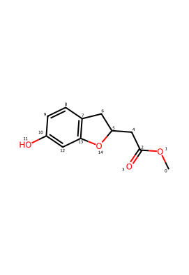 COC(=O)CC1Cc2ccc(O)cc2O1